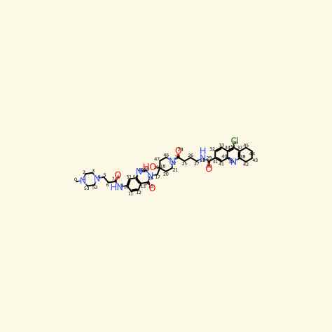 CN1CCN(CCC(=O)Nc2ccc3c(=O)n(CC4(O)CCN(C(=O)CCCNC(=O)c5ccc6c(Cl)c7c(nc6c5)CCCC7)CC4)cnc3c2)CC1